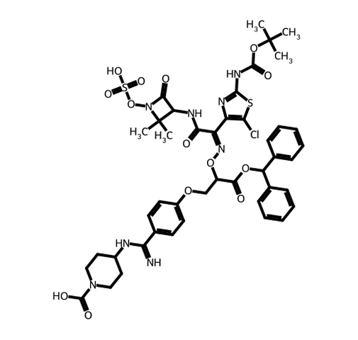 CC(C)(C)OC(=O)Nc1nc(C(=NOC(COc2ccc(C(=N)NC3CCN(C(=O)O)CC3)cc2)C(=O)OC(c2ccccc2)c2ccccc2)C(=O)NC2C(=O)N(OS(=O)(=O)O)C2(C)C)c(Cl)s1